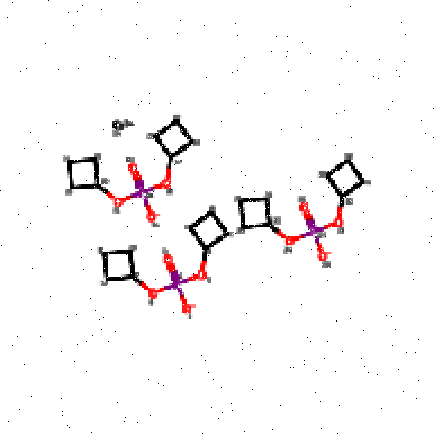 O=P([O-])(OC1CCC1)OC1CCC1.O=P([O-])(OC1CCC1)OC1CCC1.O=P([O-])(OC1CCC1)OC1CCC1.[Cr+3]